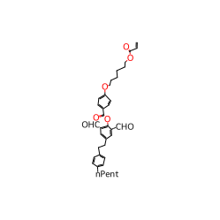 C=CC(=O)OCCCCCCOc1ccc(C(=O)Oc2c(C=O)cc(CCc3ccc(CCCCC)cc3)cc2C=O)cc1